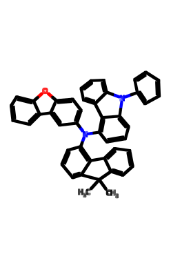 CC1(C)c2ccccc2-c2c(N(c3ccc4oc5ccccc5c4c3)c3cccc4c3c3ccccc3n4-c3ccccc3)cccc21